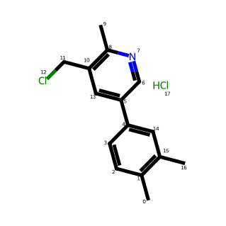 Cc1ccc(-c2cnc(C)c(CCl)c2)cc1C.Cl